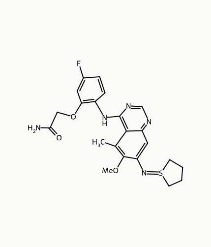 COc1c(N=S2CCCC2)cc2ncnc(Nc3ccc(F)cc3OCC(N)=O)c2c1C